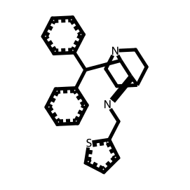 c1ccc(C(c2ccccc2)C2C(=NCc3cccs3)C3CCN2CC3)cc1